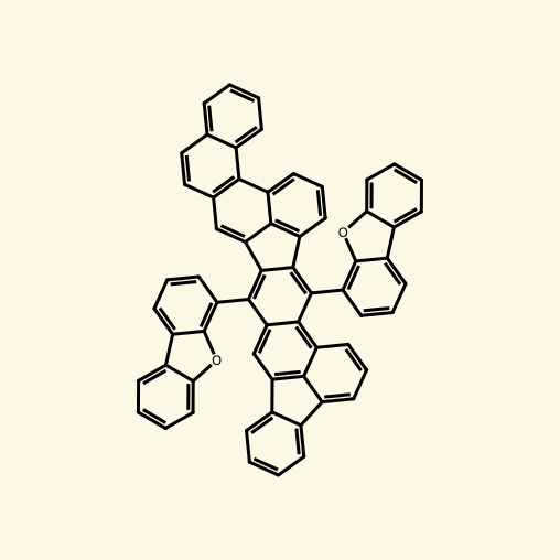 c1ccc2c(c1)ccc1cc3c4c(-c5cccc6c5oc5ccccc56)c5cc6c7ccccc7c7cccc(c5c(-c5cccc8c5oc5ccccc58)c4c4cccc(c12)c34)c76